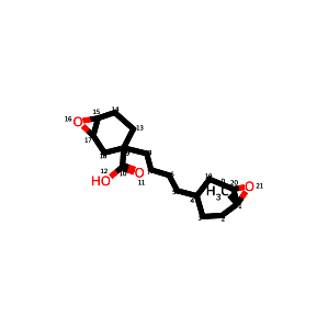 CC12CCC(CCCCC3(C(=O)O)CCC4OC4C3)CC1O2